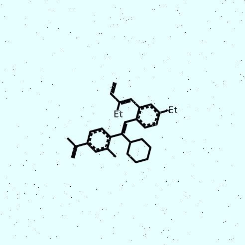 C=C/C(=C/c1cc(CC)ccc1/C=C(/c1ccc(C(=C)C)cc1C)C1CCCCC1)CC